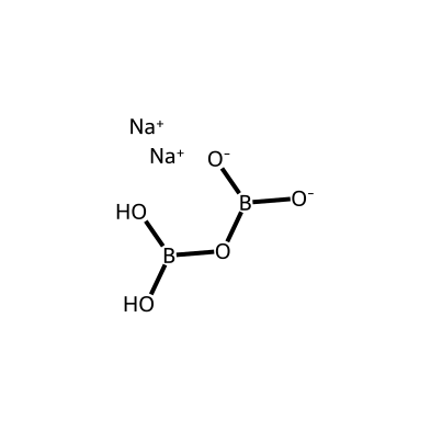 [Na+].[Na+].[O-]B([O-])OB(O)O